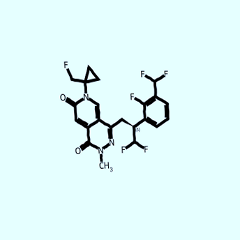 Cn1nc(C[C@@H](c2cccc(C(F)F)c2F)C(F)F)c2cn(C3(CF)CC3)c(=O)cc2c1=O